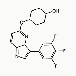 OC1CCC(Oc2ccc3ncc(-c4cc(F)c(F)c(F)c4)n3n2)CC1